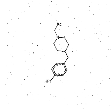 CC(=O)CN1CCC(Cc2ccc(C(C)C)cc2)CC1